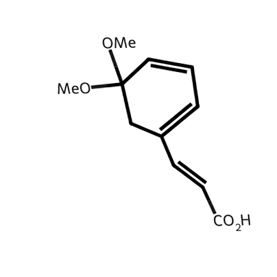 COC1(OC)C=CC=C(/C=C/C(=O)O)C1